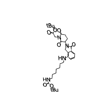 CC(C)(C)OC(=O)CN1C(=O)CCC(N2Cc3c(NCCCCCCCNC(=O)OC(C)(C)C)cccc3C2=O)C1=O